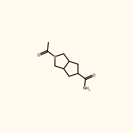 CC(=O)N1CC2CC(C(N)=O)CC2C1